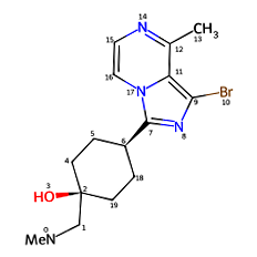 CNC[C@]1(O)CC[C@@H](c2nc(Br)c3c(C)nccn32)CC1